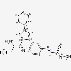 NCC(N)c1nc2ccc(/C=C/C(=O)NO)cc2c2cn(-c3ccccc3)nc12